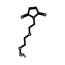 COCCOCCN1C(=O)C=CC1=O